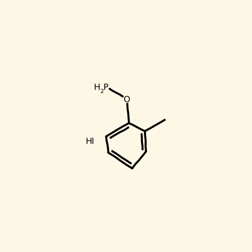 Cc1ccccc1OP.I